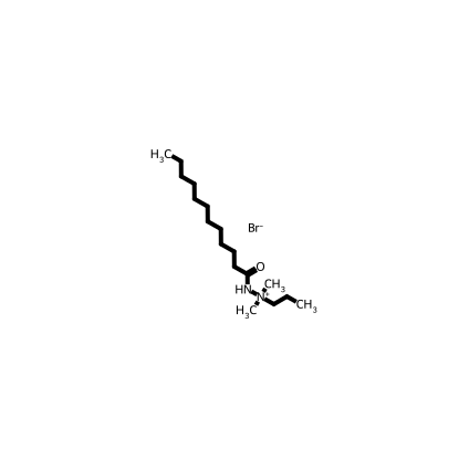 CCCCCCCCCCCC(=O)N[N+](C)(C)CCC.[Br-]